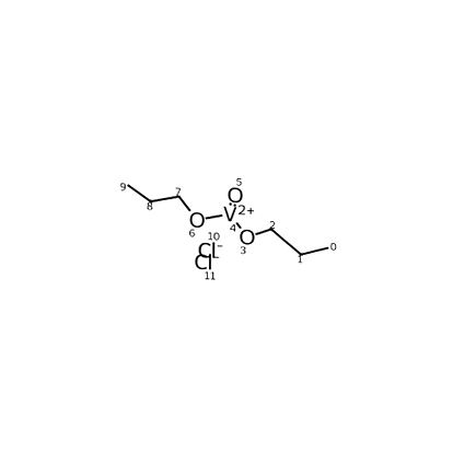 CCC[O][V+2](=[O])[O]CCC.[Cl-].[Cl-]